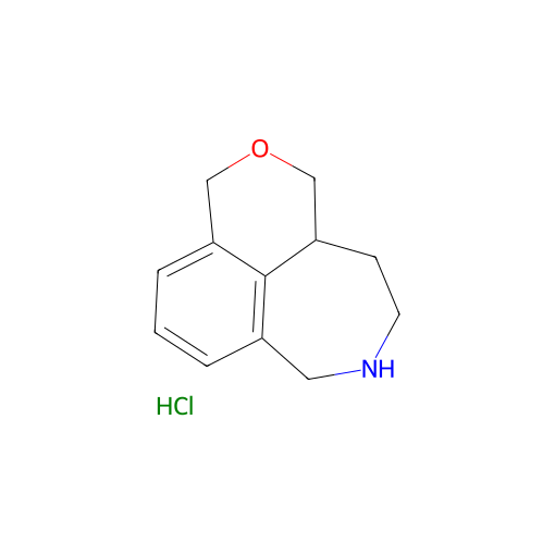 Cl.c1cc2c3c(c1)COCC3CCNC2